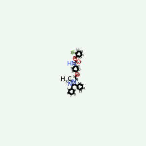 Cc1nc(-c2ccccc2)c(-c2ccccc2)n1CCOc1ccc(NC(=O)Oc2ccccc2F)cc1